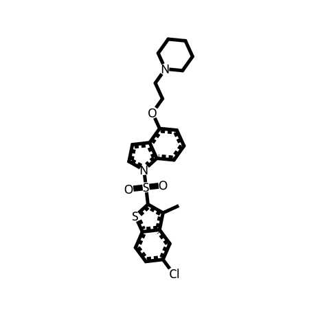 Cc1c(S(=O)(=O)n2ccc3c(OCCN4CCCCC4)cccc32)sc2ccc(Cl)cc12